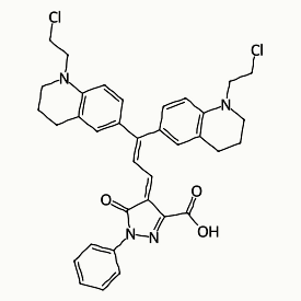 O=C(O)C1=NN(c2ccccc2)C(=O)/C1=C\C=C(c1ccc2c(c1)CCCN2CCCl)c1ccc2c(c1)CCCN2CCCl